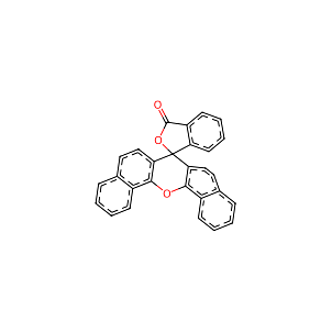 O=C1OC2(c3ccccc31)c1ccc3ccccc3c1Oc1c2ccc2ccccc12